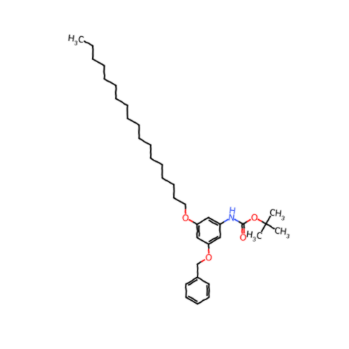 CCCCCCCCCCCCCCCCCCOc1cc(NC(=O)OC(C)(C)C)cc(OCc2ccccc2)c1